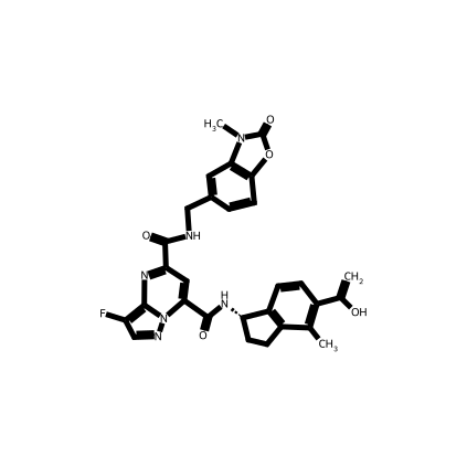 C=C(O)c1ccc2c(c1C)CC[C@@H]2NC(=O)c1cc(C(=O)NCc2ccc3oc(=O)n(C)c3c2)nc2c(F)cnn12